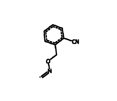 [CH]=NOCc1ccccc1C#N